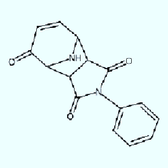 O=C1C=CC2NC1C1C(=O)N(c3ccccc3)C(=O)C21